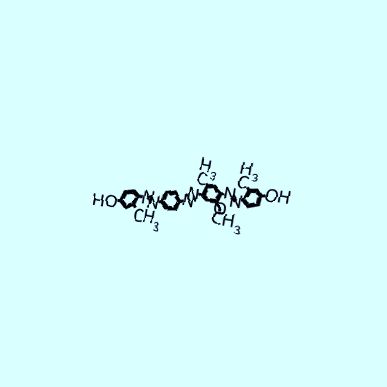 COc1cc(N=Nc2ccc(N=Nc3ccc(O)cc3C)cc2)c(C)cc1N=Nc1ccc(O)cc1C